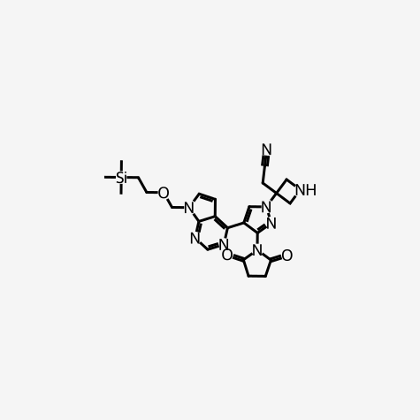 C[Si](C)(C)CCOCn1ccc2c(-c3cn(C4(CC#N)CNC4)nc3N3C(=O)CCC3=O)ncnc21